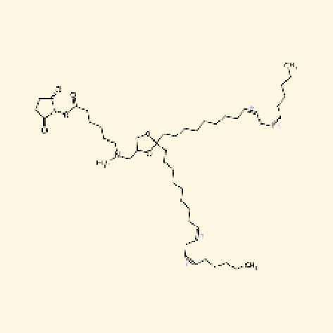 CCCCC/C=C\C/C=C\CCCCCCCCC1(CCCCCCCC/C=C\C/C=C\CCCCC)OCC(CN(C)CCCCCC(=O)ON2C(=O)CCC2=O)O1